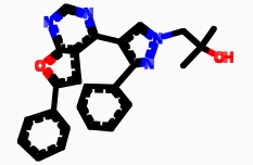 CC(C)(O)Cn1cc(-c2ncnc3oc(-c4ccccc4)cc23)c(-c2ccccc2)n1